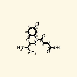 CC(C)C1CN(C(=O)C=CC(=O)O)c2cc(Cl)ccc2O1